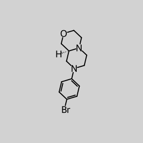 Brc1ccc(N2CCN3CCOC[C@@H]3C2)cc1